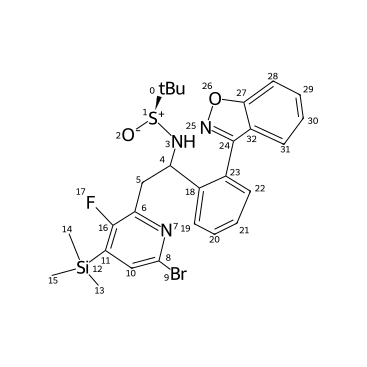 CC(C)(C)[S@+]([O-])NC(Cc1nc(Br)cc([Si](C)(C)C)c1F)c1ccccc1-c1noc2ccccc12